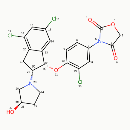 O=C1COC(=O)N1c1ccc(O[C@H]2c3cc(Cl)cc(Cl)c3C[C@H]2N2CC[C@@H](O)C2)c(Cl)c1